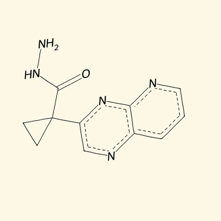 NNC(=O)C1(c2cnc3cccnc3n2)CC1